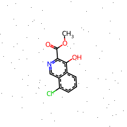 COC(=O)c1ncc2c(Cl)cccc2c1O